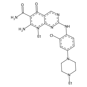 CCN1CCN(c2ccc(Nc3ncc4c(=O)c(C(N)=O)c(N)n(CC)c4n3)c(Cl)c2)CC1